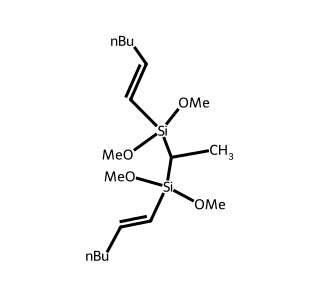 CCCCC=C[Si](OC)(OC)C(C)[Si](C=CCCCC)(OC)OC